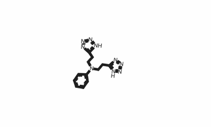 c1ccc(N(CCc2nnn[nH]2)CCc2nnn[nH]2)cc1